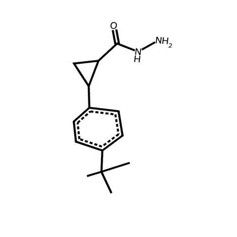 CC(C)(C)c1ccc(C2CC2C(=O)NN)cc1